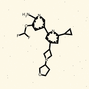 Nc1ncc(-c2cc(C3CN(C4CCOC4)C3)cc(C3CC3)n2)cc1OC(F)F